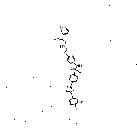 O=S(=O)(Nc1ccc(CCNCC(O)c2cccnc2)cc1)c1ccc(-c2nc(-c3ccc(F)c(F)c3)cs2)cc1